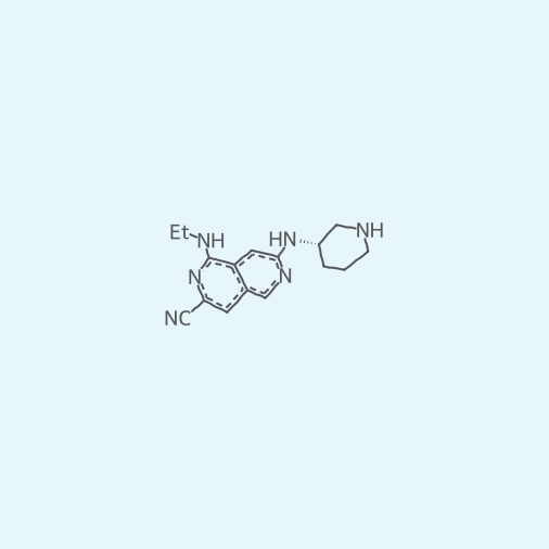 CCNc1nc(C#N)cc2cnc(N[C@H]3CCCNC3)cc12